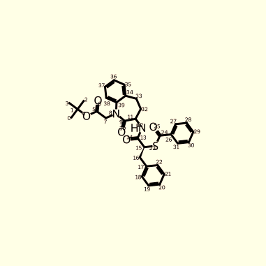 CC(C)(C)OC(=O)CN1C(=O)C(NC(=O)[C@H](Cc2ccccc2)SC(=O)c2ccccc2)CCc2ccccc21